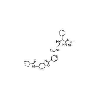 CN1N=C(C(NCCNC(=O)c2cc(-c3nc4cc(NC(=O)[C@H]5CCOC5)ccc4o3)ccn2)c2ccccc2)NN1